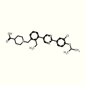 CCc1c(CN2CCC(C(=O)O)CC2)cccc1-c1cnc(-c2ccc(OC(C)C)c(Cl)c2)nc1